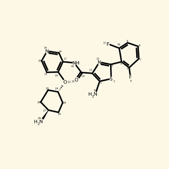 Nc1sc(-c2c(F)cccc2F)nc1C(=O)Nc1cnccc1O[C@H]1CC[C@H](N)CC1